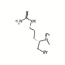 C=C(N)NCCC[C@@H](CC(C)C)N(C)C(C)C